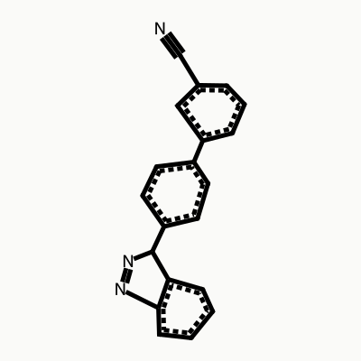 N#Cc1cccc(-c2ccc(C3N=Nc4ccccc43)cc2)c1